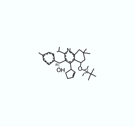 Cc1ccc([C@@H](O)c2c(C(C)C)nc3c(c2C2C=CCC2)C(O[Si](C)(C)C(C)(C)C)CC(C)(C)C3)cc1